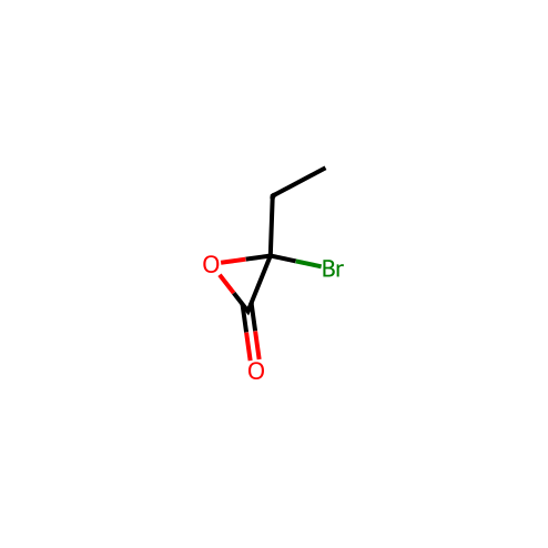 CCC1(Br)OC1=O